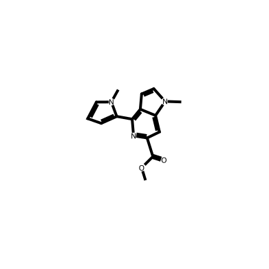 COC(=O)c1cc2c(ccn2C)c(-c2cccn2C)n1